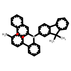 Bc1ccc(-c2ccccc2N(c2ccc3c(c2)C(C)(C)c2ccccc2-3)c2ccc3ccccc3c2)cc1